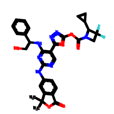 CC1(C)OC(=O)c2ccc(Nc3ncc(-c4nnc(OC(=O)N5CC(F)(F)C5C5CC5)o4)c(NC(CO)c4ccccc4)n3)cc21